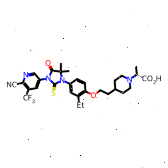 CCc1cc(N2C(=S)N(c3cnc(C#N)c(C(F)(F)F)c3)C(=O)C2(C)C)ccc1OCCC1CCN([C@H](C)C(=O)O)CC1